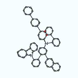 c1ccc(-c2ccc(-c3ccc(N(c4ccc(-c5ccccc5-n5c6ccccc6c6ccccc65)c(-c5ccc6ccccc6c5)c4)c4ccccc4-c4ccccc4)cc3)cc2)cc1